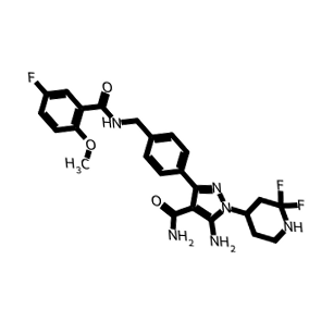 COc1ccc(F)cc1C(=O)NCc1ccc(-c2nn(C3CCNC(F)(F)C3)c(N)c2C(N)=O)cc1